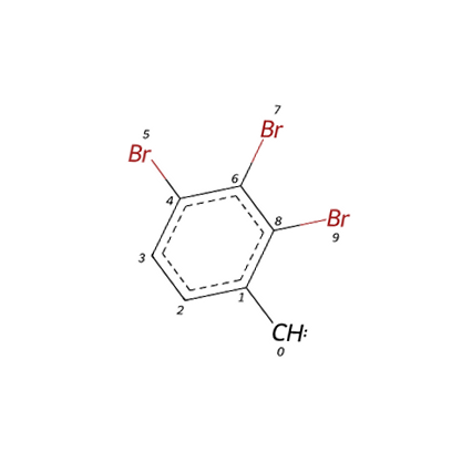 [CH]c1ccc(Br)c(Br)c1Br